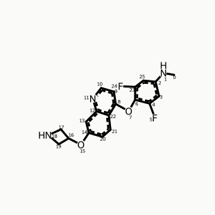 CNc1cc(F)c(Oc2ccnc3cc(OC4CNC4)ccc23)c(F)c1